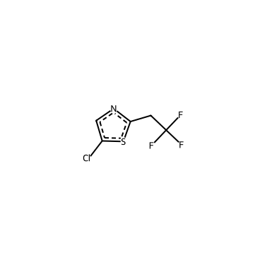 FC(F)(F)Cc1ncc(Cl)s1